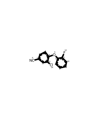 N#Cc1ccc(Oc2ccccc2F)c(Cl)c1